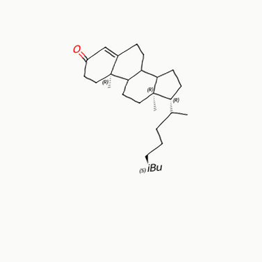 CC[C@H](C)CCCC(C)[C@H]1CCC2C3CCC4=CC(=O)CC[C@]4(C)C3CC[C@@]21C